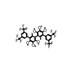 COc1c(OC)c(-c2cc(C(F)(F)F)cc(C(F)(F)F)c2)c(C)c(-c2c(C)c(-c3cc(C(F)(F)F)cc(C(F)(F)F)c3)c(OC)c(OC)c2OC)c1OC